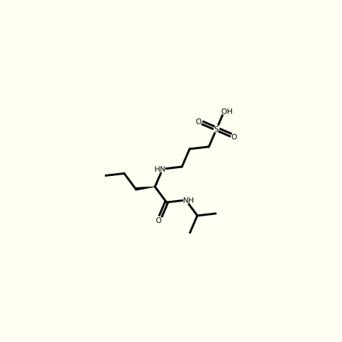 CCC[C@@H](NCCCS(=O)(=O)O)C(=O)NC(C)C